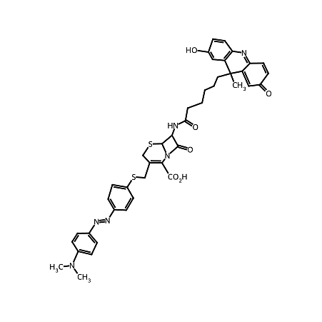 CN(C)c1ccc(N=Nc2ccc(SCC3=C(C(=O)O)N4C(=O)C(NC(=O)CCCCCC5(C)C6=CC(=O)C=CC6=Nc6ccc(O)cc65)C4SC3)cc2)cc1